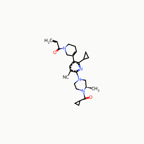 C=CC(=O)N1CCC=C(c2cc(C#N)c(N3CCN(C(=O)C4CC4)[C@H](C)C3)nc2C2CC2)C1